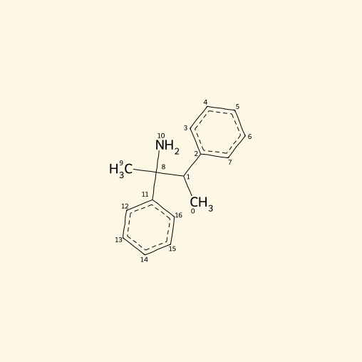 CC(c1ccccc1)C(C)(N)c1ccccc1